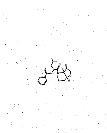 CC(C)C[C@H](NC(=O)c1ccccc1)C(=O)N1CCC[C@H]2OCC(=O)[C@H]21